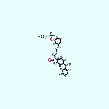 CC(C)(Oc1cccc(OCCCn2c(=O)sc3cc(C(=O)c4ccccc4)ccc32)c1)C(=O)O